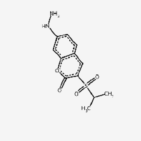 CC(C)S(=O)(=O)c1cc2ccc(NN)cc2oc1=O